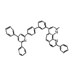 Cc1cc(-c2cccc(-c3ccc(-c4cc(-c5ccccc5)cc(-c5ccccc5)n4)cc3)c2)c2ccc3ccc(-c4ccccc4)nc3c2n1